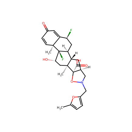 Cc1ccc(CN2C[C@@H]3C[C@H]4[C@@H]5C[C@H](F)C6=CC(=O)C=C[C@]6(C)[C@@]5(F)[C@@H](O)C[C@]4(C)[C@]3(C(=O)O)O2)o1